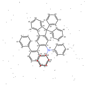 c1ccc(-c2ccc3c(c2-c2cc4c(cc2N(c2ccccc2)c2ccccc2)C(c2ccccc2)(c2ccccc2)c2ccccc2-4)CCCC3)cc1